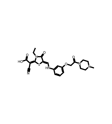 CCn1c(=C(C#N)C(=O)O)sc(=CNc2cccc(OCC(=O)N3CCN(C)CC3)c2)c1=O